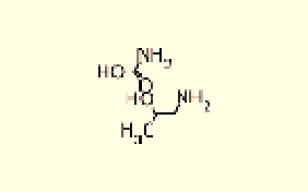 CC(O)CN.NC(=O)O